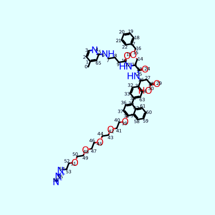 Cc1ccnc(NCCCC(=O)NC(COCc2ccccc2)C(=O)NC(CC(=O)O)c2ccc(-c3ccc(OCCOCCOCCOCCOCCN=[N+]=[N-])c4ccccc34)cc2)c1